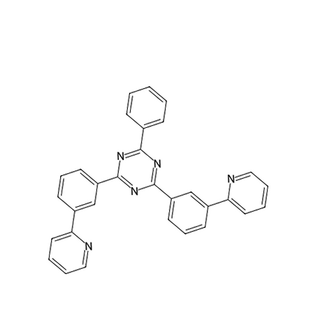 c1ccc(-c2nc(-c3cccc(-c4ccccn4)c3)nc(-c3cccc(-c4ccccn4)c3)n2)cc1